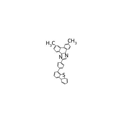 Cc1ccc2c(c1)c1cc(C)ccc1c1nc(-c3ccc(-c4cccc5c4SC4C=CC=CC54)cc3)cnc21